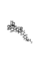 Nc1ccc(C2CCN(C(=O)c3cc(Cn4c(=O)[nH]c(=O)c5c(F)cccc54)ccc3F)CC2)cc1